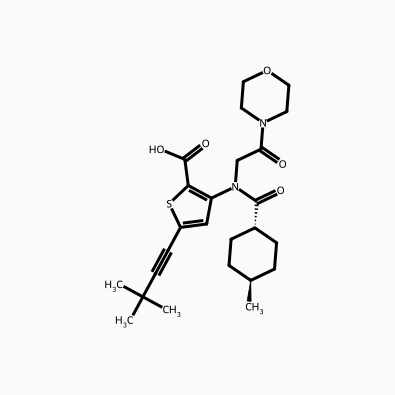 CC(C)(C)C#Cc1cc(N(CC(=O)N2CCOCC2)C(=O)[C@H]2CC[C@H](C)CC2)c(C(=O)O)s1